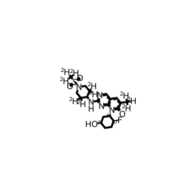 [2H]C([2H])([2H])c1cc2cnc(NC3C([2H])([2H])CN(S(=O)(=O)C([2H])([2H])[2H])CC3([2H])[2H])nc2n([C@H]2C[C@H](O)CC[C@@H]2F)c1=O